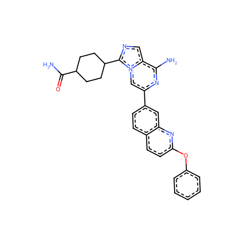 NC(=O)C1CCC(c2ncc3c(N)nc(-c4ccc5ccc(Oc6ccccc6)nc5c4)cn23)CC1